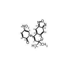 CC1(C)C=C(n2cc([N+](=O)[O-])ccc2=O)c2cc3nonc3cc2O1